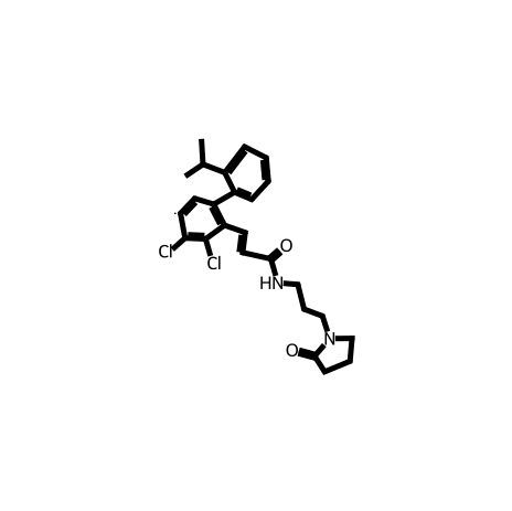 CC(C)c1ccccc1-c1c[c]c(Cl)c(Cl)c1/C=C/C(=O)NCCCN1CCCC1=O